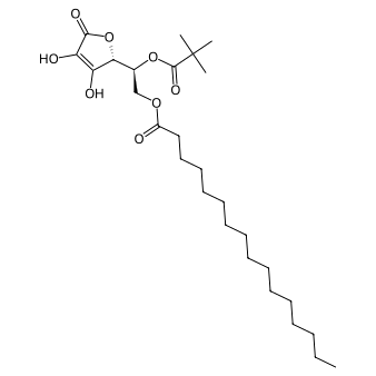 CCCCCCCCCCCCCCCC(=O)OC[C@H](OC(=O)C(C)(C)C)[C@H]1OC(=O)C(O)=C1O